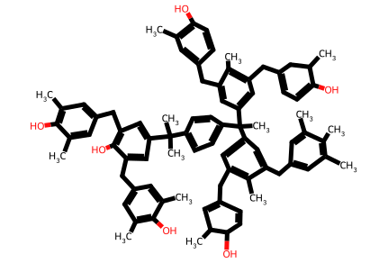 Cc1cc(Cc2cc(C(C)(c3ccc(C(C)(C)c4cc(Cc5cc(C)c(O)c(C)c5)c(O)c(Cc5cc(C)c(O)c(C)c5)c4)cc3)c3cc(CC4=CC(C)C(O)C=C4)c(C)c(Cc4cc(C)c(C)c(C)c4)c3)cc(CC3=CC=C(O)C(C)C3)c2C)ccc1O